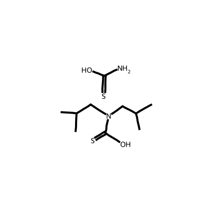 CC(C)CN(CC(C)C)C(O)=S.NC(O)=S